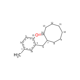 Cc1cccc(CC2CCCCCCC2=O)c1